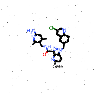 COc1ccc2c(n1)c(C(=O)NCc1c(C)cc(N)nc1C)nn2Cc1ccc2ncc(Cl)cc2c1